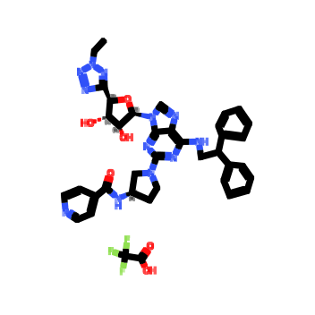 CCn1nnc([C@H]2O[C@@H](n3cnc4c(NCC(c5ccccc5)c5ccccc5)nc(N5CC[C@@H](NC(=O)c6ccncc6)C5)nc43)[C@H](O)[C@@H]2O)n1.O=C(O)C(F)(F)F